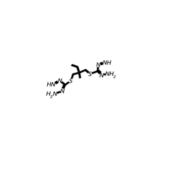 CCC(C)(CSC(N=N)=NN)CSC(N=N)=NN